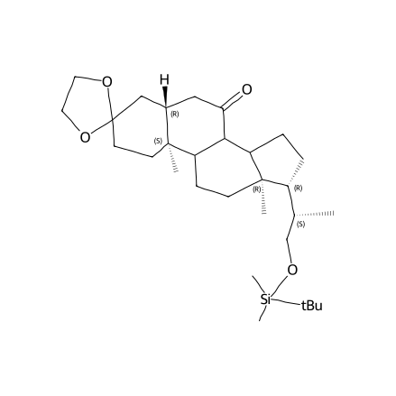 C[C@H](CO[Si](C)(C)C(C)(C)C)[C@H]1CCC2C3C(=O)C[C@H]4CC5(CC[C@]4(C)C3CC[C@@]21C)OCCO5